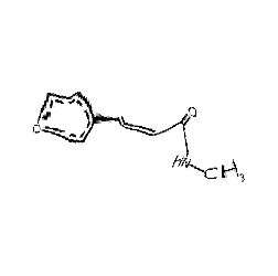 CNC(=O)C=Cc1ccoc1